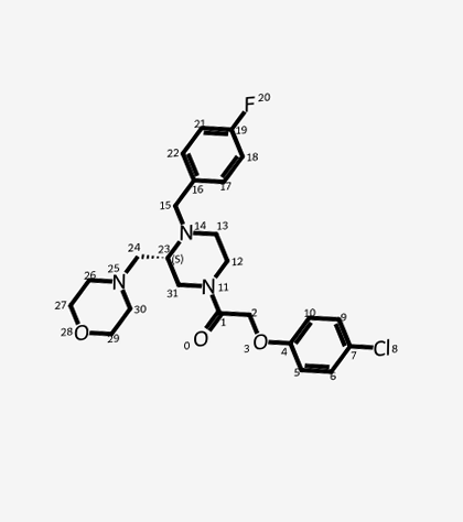 O=C(COc1ccc(Cl)cc1)N1CCN(Cc2ccc(F)cc2)[C@@H](CN2CCOCC2)C1